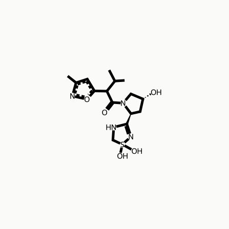 Cc1cc(C(C(=O)N2C[C@H](O)C[C@H]2C2=NS(O)(O)CN2)C(C)C)on1